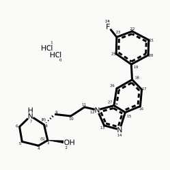 Cl.Cl.O[C@H]1CCCN[C@@H]1CCCn1cnc2ccc(-c3cccc(F)c3)cc21